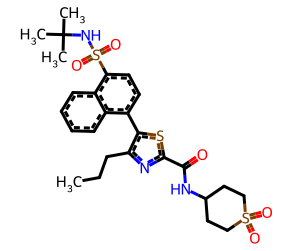 CCCc1nc(C(=O)NC2CCS(=O)(=O)CC2)sc1-c1ccc(S(=O)(=O)NC(C)(C)C)c2ccccc12